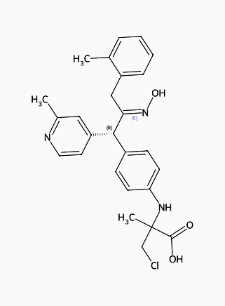 Cc1cc([C@H](/C(Cc2ccccc2C)=N/O)c2ccc(NC(C)(CCl)C(=O)O)cc2)ccn1